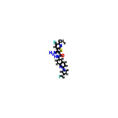 Cc1nc2sc(C(=O)N[C@H]3CCc4nc(N5CC[C@H](CF)C5)ccc4C3)c(N)c2cc1F